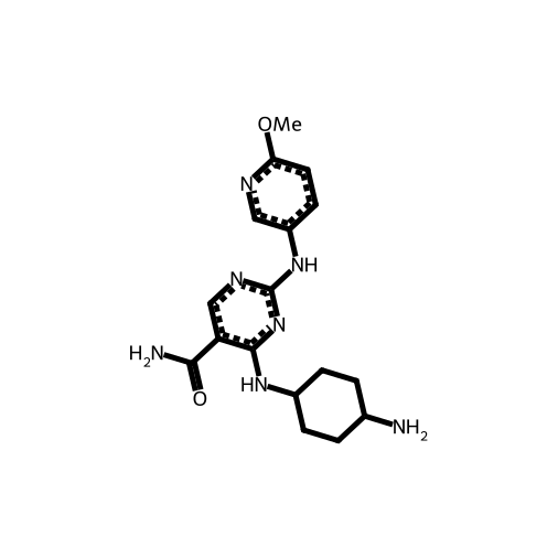 COc1ccc(Nc2ncc(C(N)=O)c(NC3CCC(N)CC3)n2)cn1